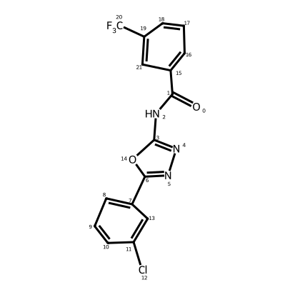 O=C(Nc1nnc(-c2cccc(Cl)c2)o1)c1cccc(C(F)(F)F)c1